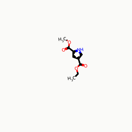 CCOC(=O)c1c[nH]c(C(=O)OC)c1